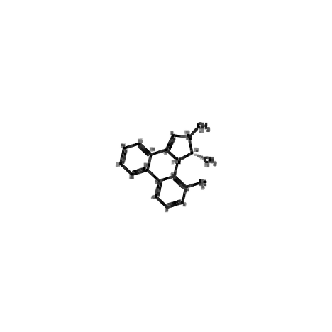 CCc1cccc2c1N1C(=CN(C)[C@@H]1C)c1ccccc1-2